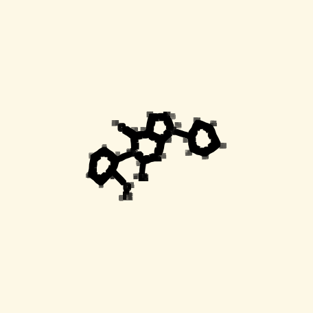 CCOc1ccccc1-n1c(CC)nc2c(cnn2-c2ccccc2)c1=O